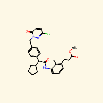 CCCCOC(=O)CCc1cccc(NC(=O)C(c2ccc(Cn3nc(Cl)ccc3=O)cc2)C2CCCC2)c1C